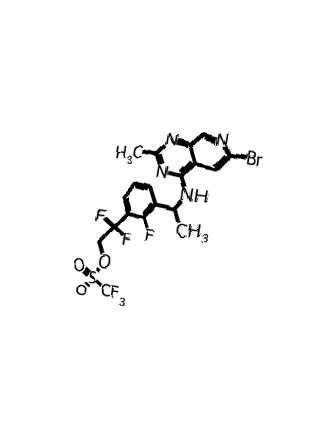 Cc1nc(NC(C)c2cccc(C(F)(F)COS(=O)(=O)C(F)(F)F)c2F)c2cc(Br)ncc2n1